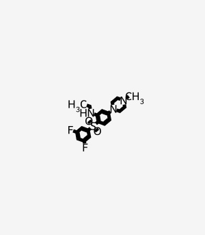 CCNc1cc(N2CCN(C)CC2)ccc1S(=O)(=O)c1cc(F)cc(F)c1